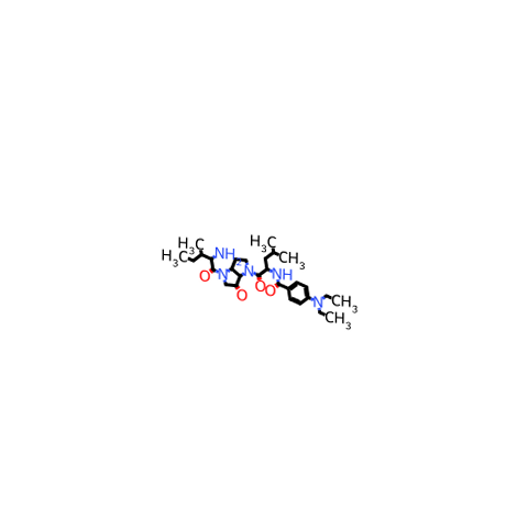 CCC(C)C(N)C(=O)N1CC(=O)C2C1CCN2C(=O)C(CC(C)C)NC(=O)c1ccc(N(CC)CC)cc1